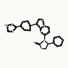 O=C1OCC(c2ccccc2)N1c1ccn2ncc(-c3ccc(-c4nc[nH]n4)cc3)c2n1